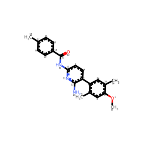 COc1cc(C)c(-c2ccc(NC(=O)c3ccc(C)cc3)nc2N)cc1C